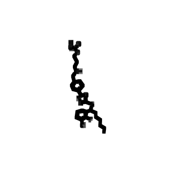 CCCCCCC(Sc1nnc(-c2ccc(CNCCCO[PH](=O)O)cc2)o1)c1cccc(Cl)c1F